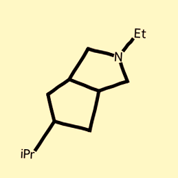 CCN1CC2CC(C(C)C)CC2C1